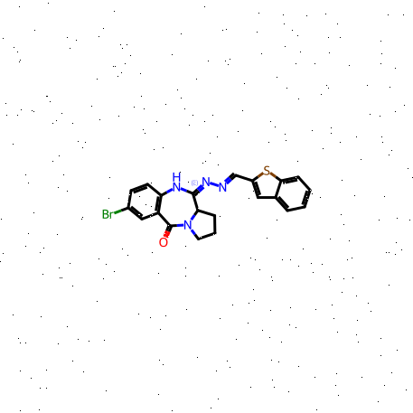 O=C1c2cc(Br)ccc2N/C(=N/N=Cc2cc3ccccc3s2)C2CCCN12